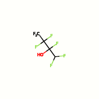 OC(F)(C(F)F)C(F)(F)C(F)(F)F